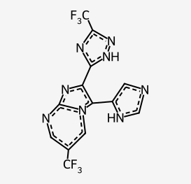 FC(F)(F)c1cnc2nc(-c3nc(C(F)(F)F)n[nH]3)c(-c3cnc[nH]3)n2c1